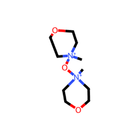 C[N+]1(O[N+]2(C)CCOCC2)CCOCC1